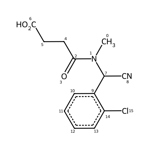 CN(C(=O)CCC(=O)O)C(C#N)c1ccccc1Cl